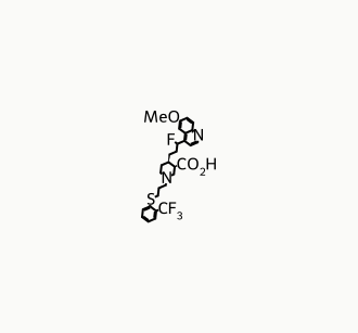 COc1ccc2nccc(C(F)CC[C@@H]3CCN(CCCSc4ccccc4C(F)(F)F)C[C@@H]3C(=O)O)c2c1